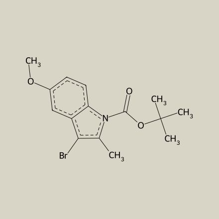 COc1ccc2c(c1)c(Br)c(C)n2C(=O)OC(C)(C)C